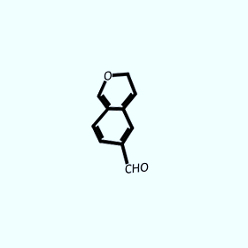 O=Cc1ccc2c(c1)=CCOC=2